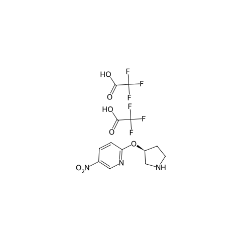 O=C(O)C(F)(F)F.O=C(O)C(F)(F)F.O=[N+]([O-])c1ccc(O[C@H]2CCNC2)nc1